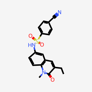 CCc1cc2cc(NS(=O)(=O)c3ccc(C#N)cc3)ccc2n(C)c1=O